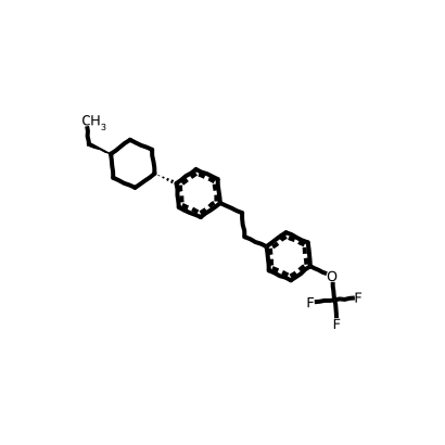 CC[C@H]1CC[C@H](c2ccc(CCc3ccc(OC(F)(F)F)cc3)cc2)CC1